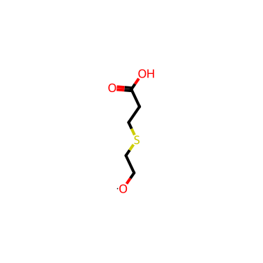 [O]CCSCCC(=O)O